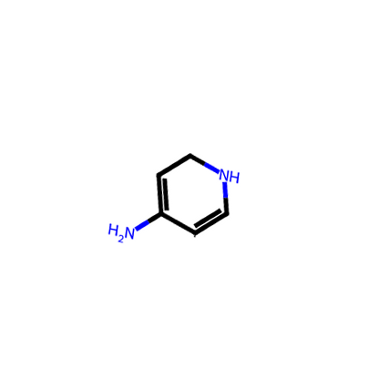 NC1=CCNC=[C]1